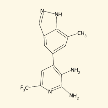 Cc1cc(-c2cc(C(F)(F)F)nc(N)c2N)cc2cn[nH]c12